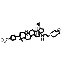 CC1(C)C(c2ccc(C(=O)O)cc2)=CC[C@]2(C)[C@H]3CC[C@@H]4[C@H]5[C@H](C6CC6)CC[C@]5(NCCN5CCS(=O)(=O)CC5)CC[C@@]4(C)[C@]3(C)CC[C@@H]12